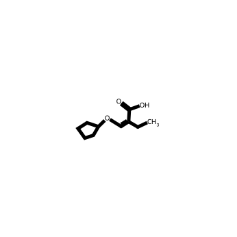 CCC(=COC1CCCC1)C(=O)O